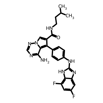 CC(C)CCNC(=O)c1cn2ncnc(N)c2c1-c1ccc(Nc2nc3cc(F)cc(F)c3[nH]2)cc1